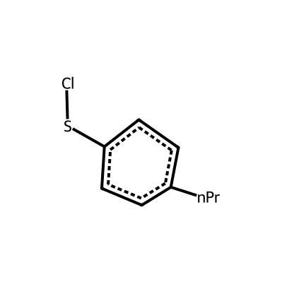 CCCc1ccc(SCl)cc1